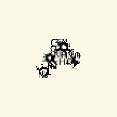 Cc1cc(-n2ncc3c(NC(=O)c4cc(CNC(=O)C5(O)CC5)ccc4Cl)cccc32)ccn1